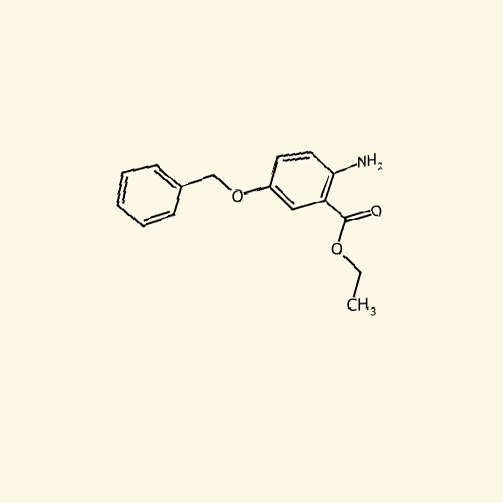 CCOC(=O)c1cc(OCc2ccccc2)ccc1N